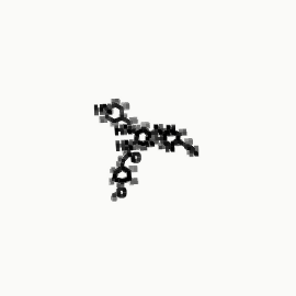 COc1ccc(CC(=O)Nc2cnc(Nc3cnc(C#N)cn3)cc2NCC2CCNCC2)cc1